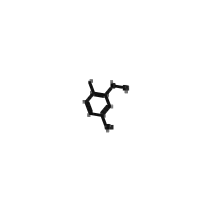 CCOc1cc(C(C)(C)C)ccc1C